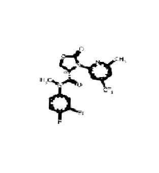 CCc1cc(N(C)C(=O)[C@@H]2COC(=O)N2c2cc(C(F)(F)F)cc(C)n2)ccc1F